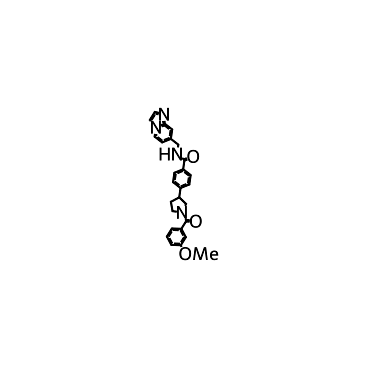 COc1cccc(C(=O)N2CCC(c3ccc(C(=O)NCc4ccn5ccnc5c4)cc3)C2)c1